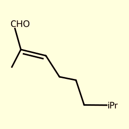 CC(C=O)=CCCCC(C)C